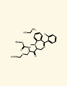 CC(=O)NCSC[C@@H](NC(=O)OC(C)(C)C)C(=O)C1CN=C(c2ccccc2F)c2ccccc2N1C.NCO